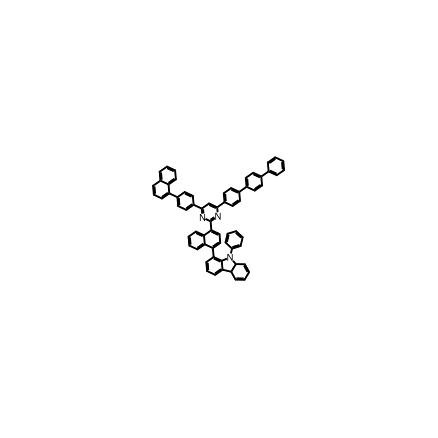 C1=CC2c3cccc(-c4ccc(-c5nc(-c6ccc(-c7ccc(-c8ccccc8)cc7)cc6)cc(-c6ccc(-c7cccc8ccccc78)cc6)n5)c5ccccc45)c3N(c3ccccc3)C2C=C1